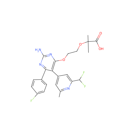 Cc1cc(-c2c(OCCOC(C)(C)C(=O)O)nc(N)nc2-c2ccc(F)cc2)cc(C(F)F)n1